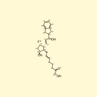 CC(C)OC(=O)CCCC=CC[C@@H]1[C@@H](C=CC(O)C2Cc3ccccc3C2)[C@@H](F)C[C@@H]1O